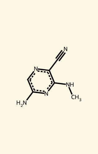 CNc1nc(N)cnc1C#N